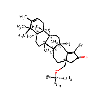 CC1=CC[C@]2(C)[C@H]3CC[C@@H]4C5=C(C(C)C)C(=O)C[C@]5(CO[Si](C)(C)C(C)(C)C)CC[C@@]4(C)[C@]3(C)CC[C@H]2C1(C)C